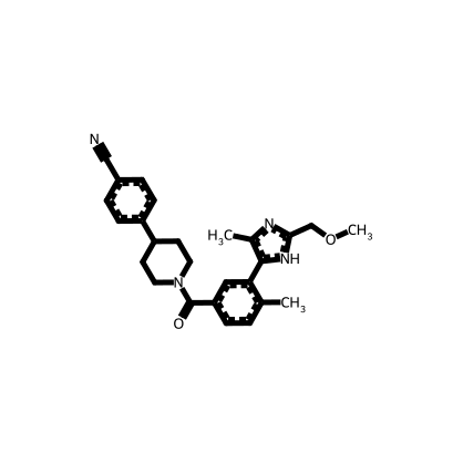 COCc1nc(C)c(-c2cc(C(=O)N3CCC(c4ccc(C#N)cc4)CC3)ccc2C)[nH]1